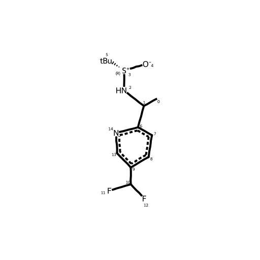 CC(N[S@@+]([O-])C(C)(C)C)c1ccc(C(F)F)cn1